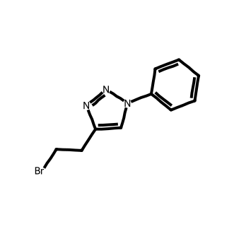 BrCCc1cn(-c2ccccc2)nn1